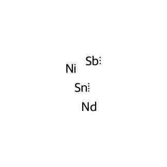 [Nd].[Ni].[Sb].[Sn]